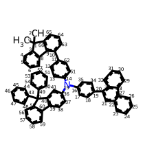 CC1(C)c2ccccc2-c2c(-c3ccc(N(c4ccc(-c5cc6ccccc6c6ccccc56)cc4)c4ccc5c(c4)C(c4ccccc4)(c4ccccc4)c4ccccc4-5)cc3)cccc21